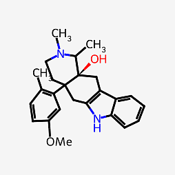 COc1ccc(C)c(C23CCN(C)C(C)[C@]2(O)Cc2c([nH]c4ccccc24)C3)c1